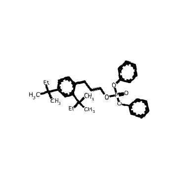 CCC(C)(C)c1ccc(CCCOP(=O)(Oc2ccccc2)Oc2ccccc2)c(C(C)(C)CC)c1